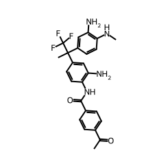 CNc1ccc(C(C)(c2ccc(NC(=O)c3ccc(C(C)=O)cc3)c(N)c2)C(F)(F)F)cc1N